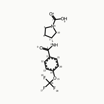 O=C(N[C@@H]1CCN(C(=O)O)C1)c1ccc(OC(F)(F)F)cc1